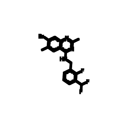 Cc1nc(NCc2cccc(C(F)F)c2F)c2cc(C)c(Br)cc2n1